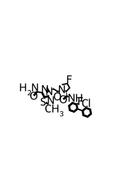 Cc1nc2c(s1)c(C(N)=O)nn2CC(=O)N1C[C@H](F)C[C@H]1C(=O)Nc1cccc(-c2ccccc2Cl)c1F